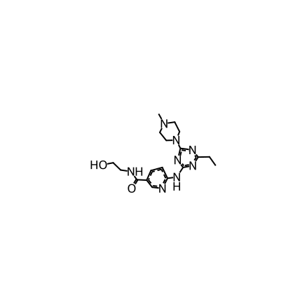 CCc1nc(Nc2ccc(C(=O)NCCO)cn2)nc(N2CCN(C)CC2)n1